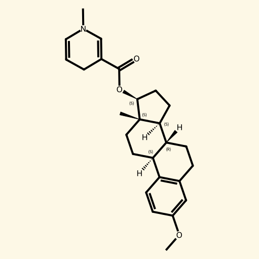 COc1ccc2c(c1)CC[C@@H]1[C@@H]2CC[C@]2(C)[C@@H](OC(=O)C3=CN(C)C=CC3)CC[C@@H]12